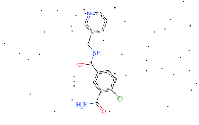 NC(=O)c1cc(C(=O)NCc2cccnc2)ccc1Cl